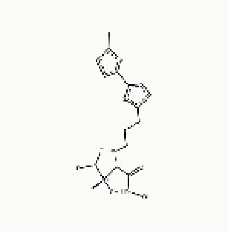 Cc1ccc(-c2ccc(CCCN[C@H](C(=O)NO)[C@](C)(O)C(F)F)s2)s1